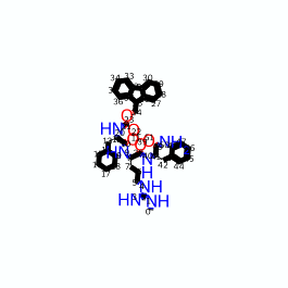 CNC(=N)NCCC[C@H](NC(=O)[C@H](CC1CCCCC1)NC(=O)OCC1c2ccccc2-c2ccccc21)C(=O)N[C@@H](Cc1ccccc1)C(N)=O